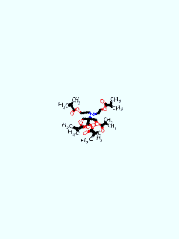 C=C(C)C(=O)OCCN(CCOC(=O)C(=C)C)C(COC(=O)C(=C)C)(COC(=O)C(=C)C)COC(=O)C(=C)C